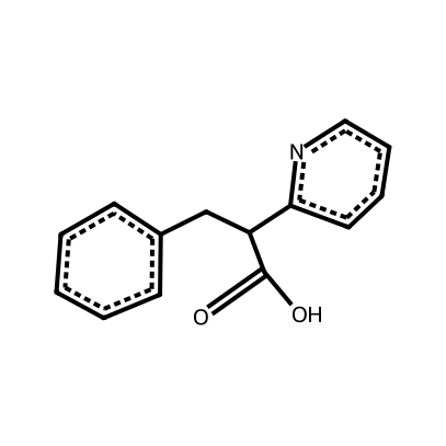 O=C(O)C(Cc1ccccc1)c1ccccn1